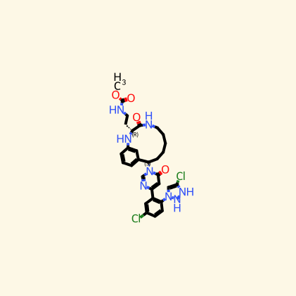 COC(=O)NCC[C@H]1Nc2cccc(c2)[C@@H](n2cnc(-c3cc(Cl)ccc3N3C=C(Cl)NN3)cc2=O)CCCCCNC1=O